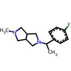 CC(c1ccc(F)cc1)N1CC2CN(C)CC2C1